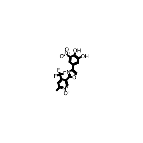 Cc1cc(C(F)(F)F)c(-c2nc(-c3cc(O)c(O)c([N+](=O)[O-])c3)co2)c[n+]1[O-]